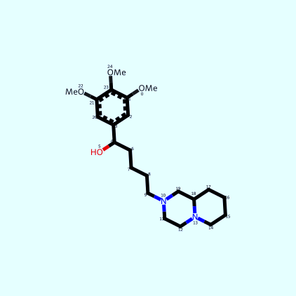 COc1cc(C(O)CCCCN2CCN3CCCCC3C2)cc(OC)c1OC